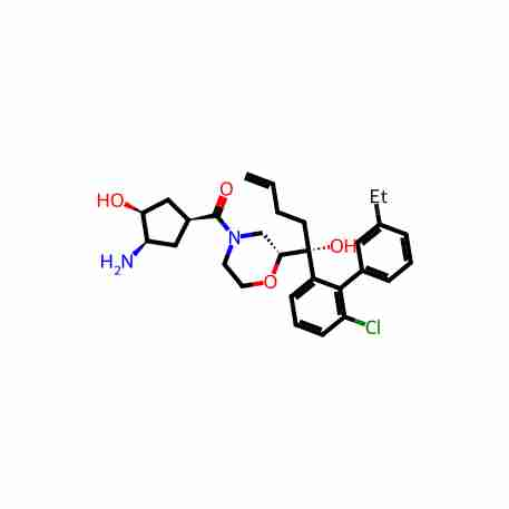 C=CCC[C@@](O)(c1cccc(Cl)c1-c1cccc(CC)c1)[C@H]1CN(C(=O)[C@H]2C[C@@H](N)[C@@H](O)C2)CCO1